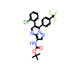 CC(C)(C)OC(=O)Nc1cnn2c(-c3ccc(C(F)(F)F)cc3)c(-c3ccccc3Cl)cnc12